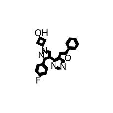 O[C@H]1C[C@H](n2cc(-c3ncnc4oc(-c5ccccc5)cc34)c(-c3ccc(F)cc3)n2)C1